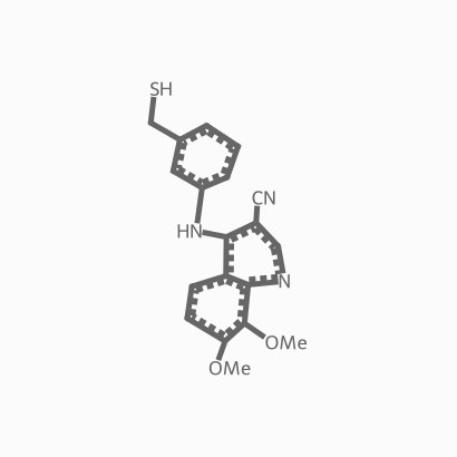 COc1ccc2c(Nc3cccc(CS)c3)c(C#N)cnc2c1OC